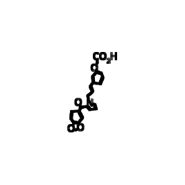 O=C(O)COc1cccc(/C=C/Cn2cccc2C(=O)c2ccc3c(c2)OCO3)c1